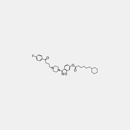 O=C(CCCCCC1CCCCC1)Oc1ccc2c(N3CCN(CCCC(=O)c4ccc(F)cc4)CC3)noc2c1